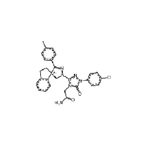 Cc1ccc(C2=NN(c3nn(-c4ccc(Cl)cc4)c(=O)n3CC(N)=O)C[C@@]23CCc2ccccc23)cc1